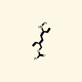 C=C/C(=C\C=C(/C=C)NC(C)C)COC(=O)C(C)C